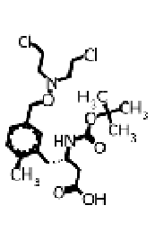 Cc1ccc(CON(CCCl)CCCl)cc1C[C@@H](CC(=O)O)NC(=O)OC(C)(C)C